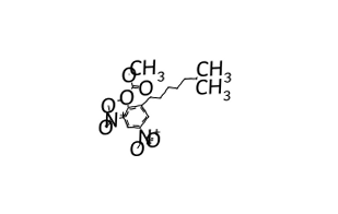 COC(=O)Oc1c(CCCCCC(C)C)cc([N+](=O)[O-])cc1[N+](=O)[O-]